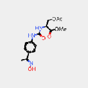 COC(=O)C(COC(C)=O)NC(=O)Nc1ccc(C(C)=NO)cc1